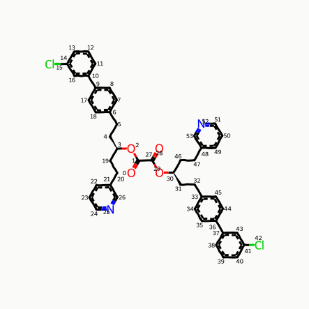 O=C(O[C@H](CCc1ccc(-c2cccc(Cl)c2)cc1)CCc1cccnc1)C(=O)O[C@H](CCc1ccc(-c2cccc(Cl)c2)cc1)CCc1cccnc1